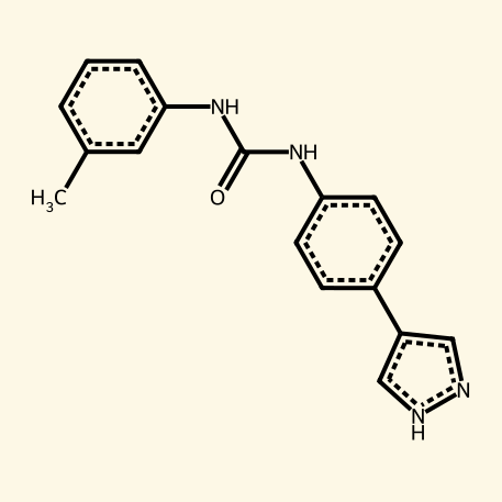 Cc1cccc(NC(=O)Nc2ccc(-c3cn[nH]c3)cc2)c1